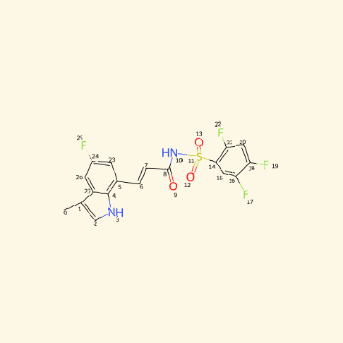 Cc1c[nH]c2c(C=CC(=O)NS(=O)(=O)c3cc(F)c(F)cc3F)cc(F)cc12